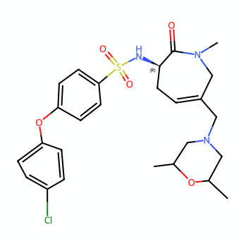 CC1CN(CC2=CC[C@@H](NS(=O)(=O)c3ccc(Oc4ccc(Cl)cc4)cc3)C(=O)N(C)C2)CC(C)O1